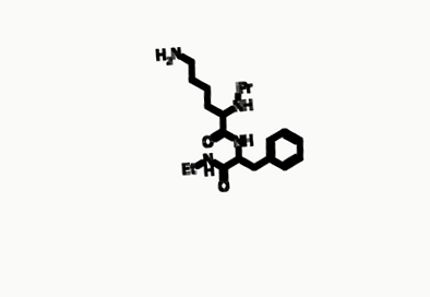 CCNC(=O)C(Cc1ccccc1)NC(=O)C(CCCCN)NC(C)C